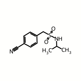 CC(C)NS(=O)(=O)Cc1ccc(C#N)cc1